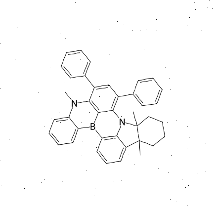 CN1c2ccccc2B2c3cccc4c3N(c3c(-c5ccccc5)cc(-c5ccccc5)c1c32)C1(C)CCCCC41C